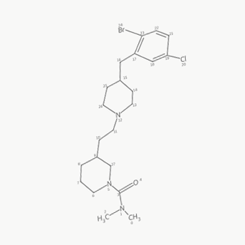 CN(C)C(=O)N1CCCC(CCN2CCC(Cc3cc(Cl)ccc3Br)CC2)C1